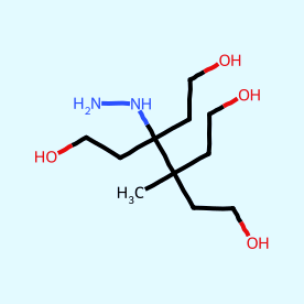 CC(CCO)(CCO)C(CCO)(CCO)NN